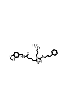 COCCCn1c(CCCC(=O)NCc2ccc3c(c2)OCO3)nnc1SC/C=C/c1ccccc1